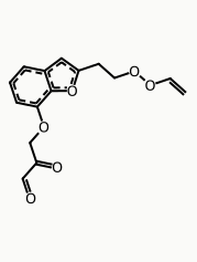 C=COOCCc1cc2cccc(OCC(=O)C=O)c2o1